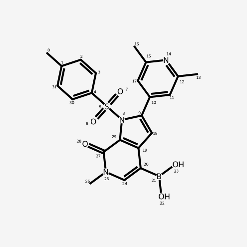 Cc1ccc(S(=O)(=O)n2c(-c3cc(C)nc(C)c3)cc3c(B(O)O)cn(C)c(=O)c32)cc1